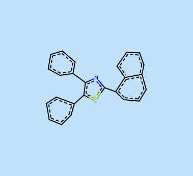 c1ccc(-c2nc(-c3cccc4ccccc34)sc2-c2ccccc2)cc1